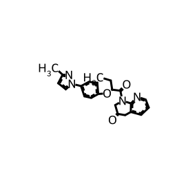 CCC(Oc1ccc(-n2ccc(C)n2)cc1)C(=O)N1CC(=O)Cc2cccnc21